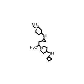 CCN1CCC(NC2CC2CC(C)N2CCC(NC3CCC3)CC2)CC1